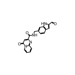 O=Cc1cc2ccc(CNC(=O)c3cc(=O)n4ccccc4n3)cc2[nH]1